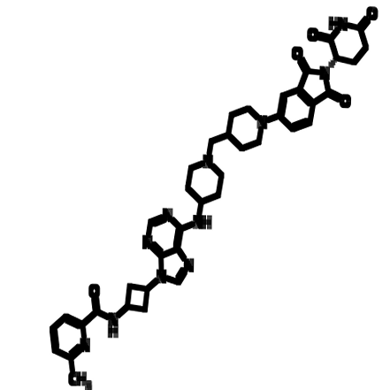 Cc1cccc(C(=O)NC2CC(n3cnc4c(NC5CCN(CC6CCN(c7ccc8c(c7)C(=O)N([C@H]7CCC(=O)NC7=O)C8=O)CC6)CC5)ncnc43)C2)n1